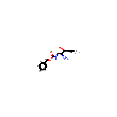 CC#CC(O)C(N)CNC(=O)OCc1ccccc1